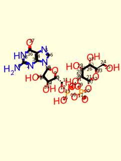 Nc1nc2c(ncn2[C@@H]2O[C@H](COP(=O)(O)OP(=O)(O)O[C@H]3O[C@H](CO)[C@@H](O)[C@H](O)[C@H]3O)[C@@H](O)[C@H]2O)c(=O)[nH]1